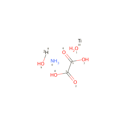 N.O.O=C(O)C(=O)O.[2H]O.[Ti]